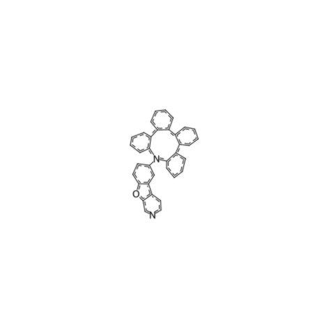 c1ccc2c(c1)c1ccccc1c1ccccc1n(-c1ccc3oc4cnccc4c3c1)c1ccccc21